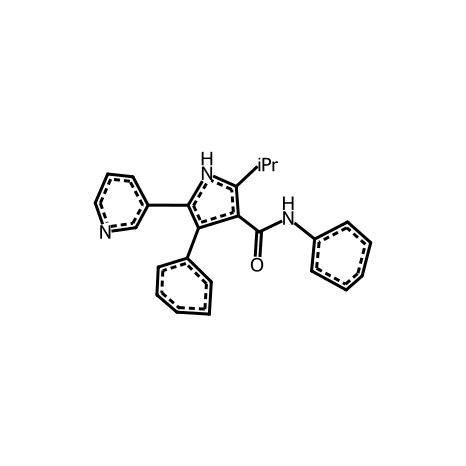 CC(C)c1[nH]c(-c2cccnc2)c(-c2ccccc2)c1C(=O)Nc1ccccc1